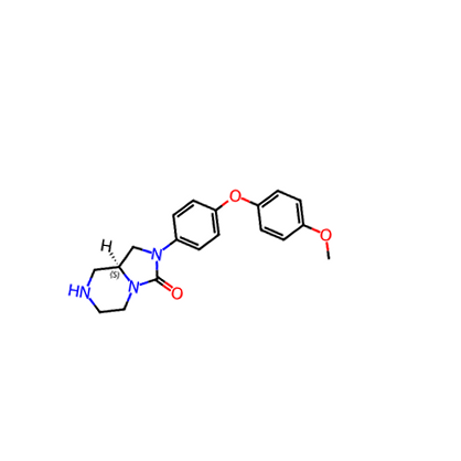 COc1ccc(Oc2ccc(N3C[C@@H]4CNCCN4C3=O)cc2)cc1